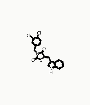 O=C1SC(=Cc2c[nH]c3ccccc23)C(=O)N1Cc1ccc(Cl)c(Cl)c1